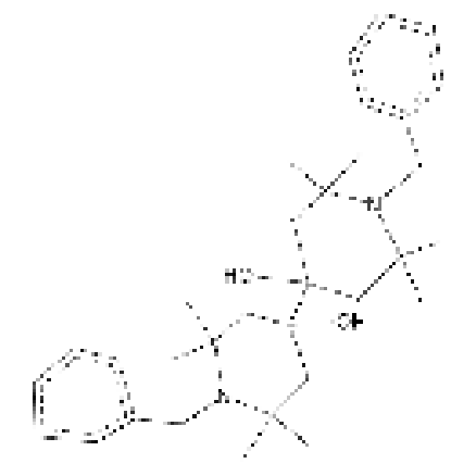 CC1(C)CC(O)(C2(O)CC(C)(C)N(Cc3ccccc3)C(C)(C)C2)CC(C)(C)N1Cc1ccccc1